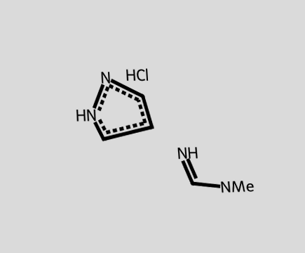 CNC=N.Cl.c1cn[nH]c1